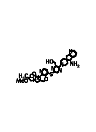 COC(C)(C)CN1CC2COc3c(Sc4cnc(N5CCC6(CC5)Cc5ncccc5[C@H]6N)c(CO)n4)ccnc3N2C1=O